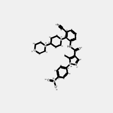 Cc1c(C(=O)Nc2cccc(C#N)c2N2CCC(N3CCOCC3)CC2)cnn1-c1ccc([N+](=O)[O-])cc1